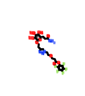 NC(=O)CC[C@H]1O[C@H](OCCc2cn(CCOCCC(=O)Oc3c(F)c(F)c(F)c(F)c3F)nn2)[C@@H](O)[C@@H](O)[C@@H]1O